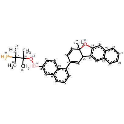 CC12C=CC(c3cccc4cc(BOC(C)(C)C(C)(C)P)ccc34)=CC1c1cc3ccccc3cc1O2